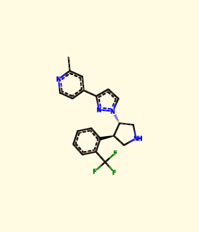 Cc1cc(-c2ccn([C@@H]3CNC[C@H]3c3ccccc3C(F)(F)F)n2)ccn1